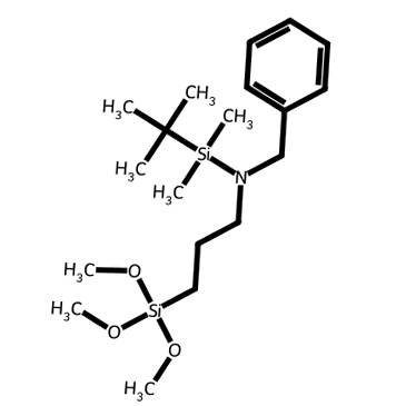 CO[Si](CCCN(Cc1ccccc1)[Si](C)(C)C(C)(C)C)(OC)OC